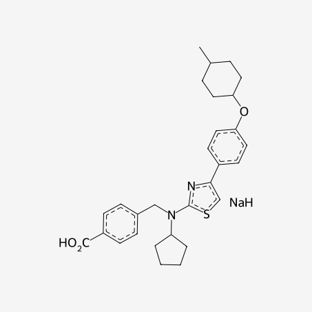 CC1CCC(Oc2ccc(-c3csc(N(Cc4ccc(C(=O)O)cc4)C4CCCC4)n3)cc2)CC1.[NaH]